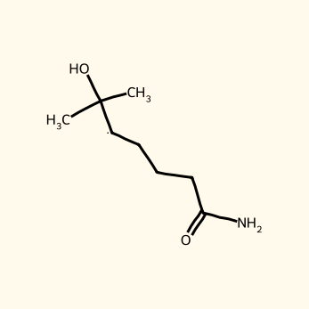 CC(C)(O)[CH]CCCC(N)=O